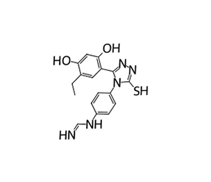 CCc1cc(-c2nnc(S)n2-c2ccc(NC=N)cc2)c(O)cc1O